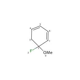 COC1(F)[CH]C=CC=C1